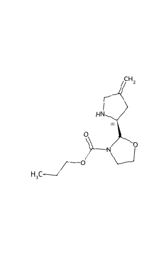 C=C1CN[C@H](C2OCCN2C(=O)OCCC)C1